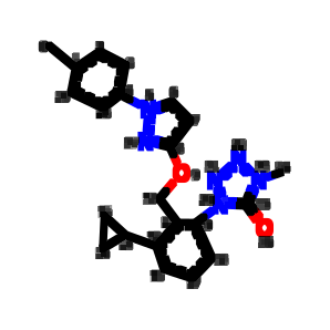 Cc1ccc(-n2ccc(OCc3c(C4CC4)cccc3-n3nnn(C)c3=O)n2)cc1